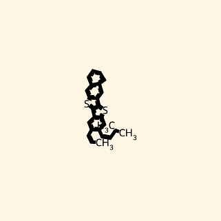 C/C=C\c1cc2c(cc1/C=C\C(C)C)sc1c3cc4ccccc4cc3sc21